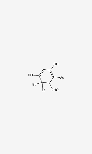 CCC1(CC)C(O)=CC(O)=C(C(C)=O)C1C=O